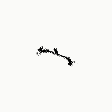 CN1Cc2c(Cl)cc(Cl)cc2C(c2ccc(S(=O)(=O)NCCOCCOCCOCCN(CCOCCOCCOCCNS(=O)(=O)c3ccc(C4CN(C)Cc5c(Cl)cc(Cl)cc54)cc3)C(=O)c3ccc(C(N)=O)cc3)cc2)C1